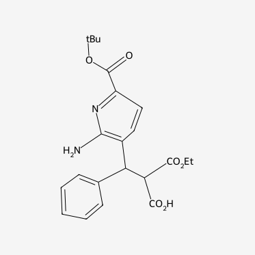 CCOC(=O)C(C(=O)O)C(c1ccccc1)c1ccc(C(=O)OC(C)(C)C)nc1N